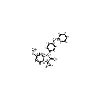 O=C1N(c2ccc(Oc3ccccc3)cc2)c2nc(CO)ncc2C12CC2